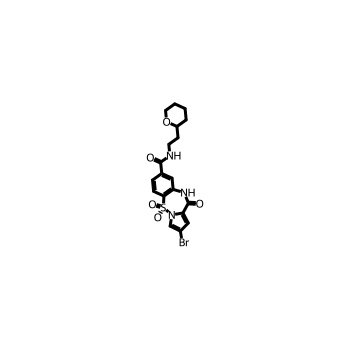 O=C(NCCC1CCCCO1)c1ccc2c(c1)NC(=O)c1cc(Br)cn1S2(=O)=O